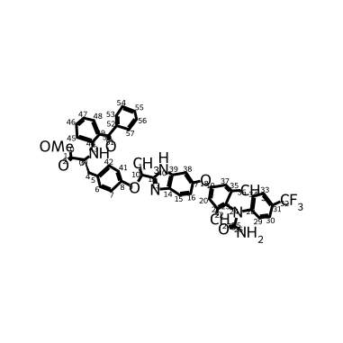 COC(=O)[C@H](Cc1ccc(OC(C)c2nc3ccc(Oc4cc(C)c(N(C(N)=O)c5ccc(C(F)(F)F)cc5)c(C)c4)cc3[nH]2)cc1)Nc1ccccc1C(=O)c1ccccc1